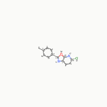 Cc1ccc(-c2nc3ccc(Cl)nc3o2)cc1